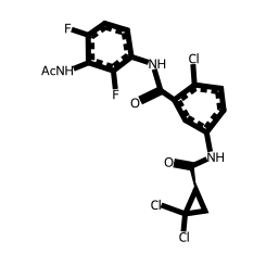 CC(=O)Nc1c(F)ccc(NC(=O)c2cc(NC(=O)[C@H]3CC3(Cl)Cl)ccc2Cl)c1F